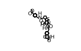 COC(=O)c1ccc(CNC(=O)C2CCc3sc4nc(C(=O)NCc5ccc6c(c5)NC(=O)CO6)[nH]c(=O)c4c32)cc1